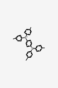 Cc1ccc([S+](c2ccc(C)cc2)c2ccc([S+](c3ccc(C)cc3)c3ccc(C)cc3)cc2)cc1